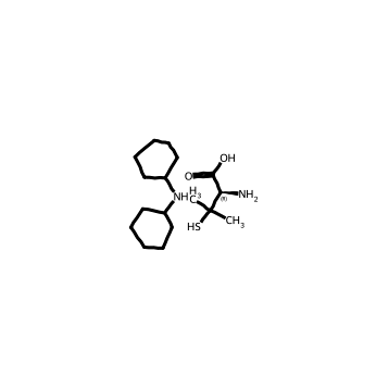 C1CCC(NC2CCCCC2)CC1.CC(C)(S)[C@H](N)C(=O)O